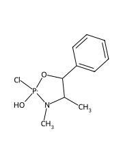 CC1C(c2ccccc2)O[P](O)(Cl)N1C